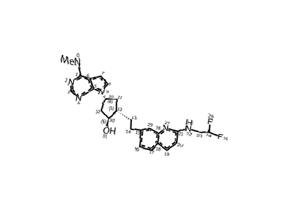 CNc1ncnc2c1ccn2[C@@H]1C[C@H](CCc2ccc3ccc(NCC(F)F)nc3c2)[C@@H](O)C1